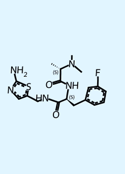 C[C@@H](C(=O)N[C@@H](Cc1cccc(F)c1)C(=O)NCc1cnc(N)s1)N(C)C